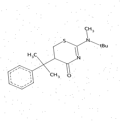 CN(C1=NC(=O)C(C(C)(C)c2ccccc2)CS1)C(C)(C)C